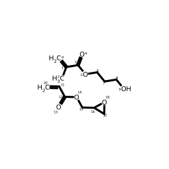 C=C(C)C(=O)OCCCO.C=CC(=O)OCC1CO1